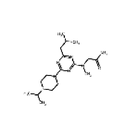 CC(C)Cc1nc(N(C)CC(N)=O)nc(N2CCN(C(C)C)CC2)n1